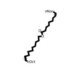 CCCCCCCC/C=C\CCCCCCCCOC(=O)CCCCCC/C=C\CCCCCCCCC